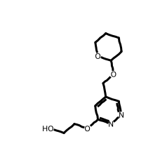 OCCOc1cc(COC2CCCCO2)cnn1